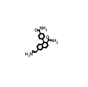 NN=Cc1ccc2c(-c3ccc(C(N)=O)cc3)c(C(N)=O)ccc2c1